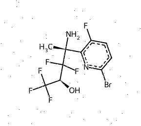 C[C@@](N)(c1nc(Br)ccc1F)C(F)(F)[C@@H](O)C(F)(F)F